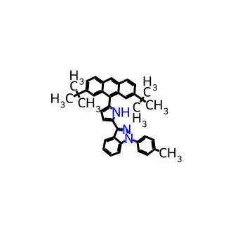 Cc1ccc(-n2nc(-c3ccc(-c4c5cc(C(C)(C)C)ccc5cc5ccc(C(C)(C)C)cc45)[nH]3)c3ccccc32)cc1